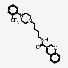 O=C(NCCCCN1CCN(c2ccccc2C(F)(F)F)CC1)C1=Cc2ccccc2OC1